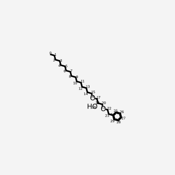 CCCCCCCCCCCCCCCCOCC(O)COCCc1ccccc1